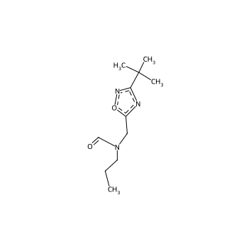 CCCN(C=O)Cc1nc(C(C)(C)C)no1